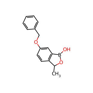 CC1OB(O)c2cc(OCc3ccccc3)ccc21